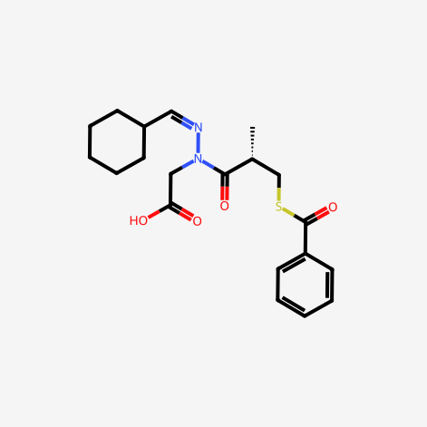 C[C@H](CSC(=O)c1ccccc1)C(=O)N(CC(=O)O)/N=C\C1CCCCC1